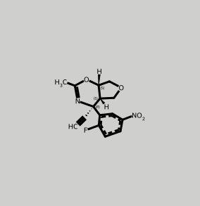 C#C[C@]1(c2cc([N+](=O)[O-])ccc2F)N=C(C)O[C@@H]2COC[C@@H]21